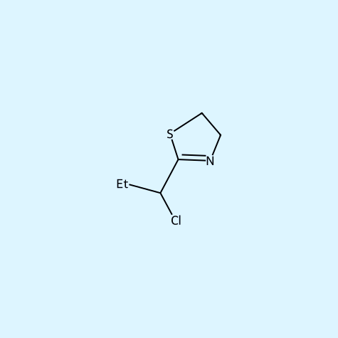 [CH2]CC(Cl)C1=NCCS1